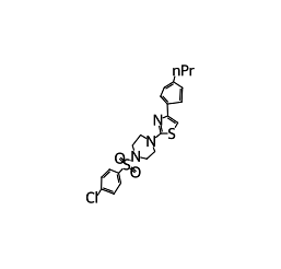 CCCc1ccc(-c2csc(N3CCN(S(=O)(=O)c4ccc(Cl)cc4)CC3)n2)cc1